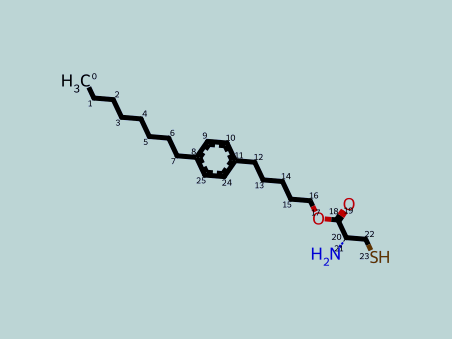 CCCCCCCCc1ccc(CCCCCOC(=O)[C@@H](N)CS)cc1